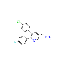 NCc1cnc(-c2ccc(F)cc2)c(-c2ccc(Cl)cc2)c1